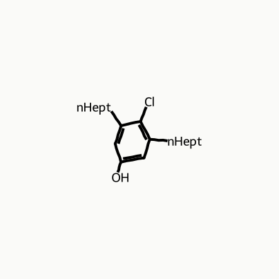 CCCCCCCc1cc(O)cc(CCCCCCC)c1Cl